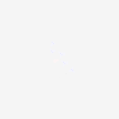 CCc1nsc(NC(=O)Nc2ccccc2N2CCCCC2)n1